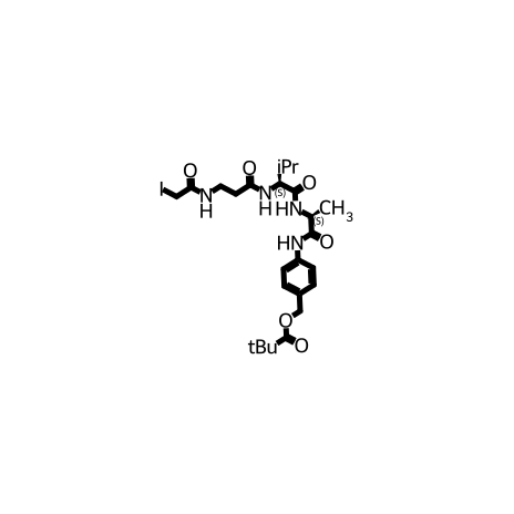 CC(C)[C@H](NC(=O)CCNC(=O)CI)C(=O)N[C@@H](C)C(=O)Nc1ccc(COC(=O)C(C)(C)C)cc1